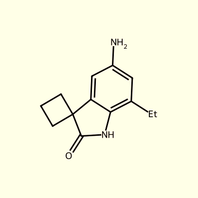 CCc1cc(N)cc2c1NC(=O)C21CCC1